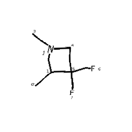 CC1N(C)CC1(F)F